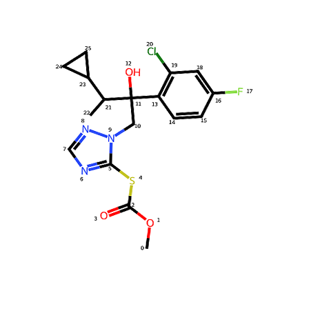 COC(=O)Sc1ncnn1CC(O)(c1ccc(F)cc1Cl)C(C)C1CC1